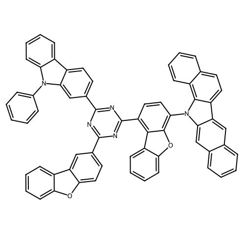 c1ccc(-n2c3ccccc3c3ccc(-c4nc(-c5ccc6oc7ccccc7c6c5)nc(-c5ccc(-n6c7cc8ccccc8cc7c7ccc8ccccc8c76)c6oc7ccccc7c56)n4)cc32)cc1